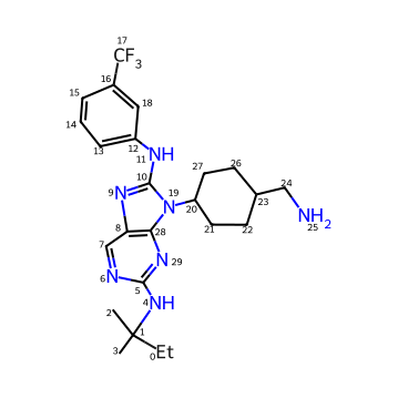 CCC(C)(C)Nc1ncc2nc(Nc3cccc(C(F)(F)F)c3)n(C3CCC(CN)CC3)c2n1